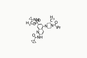 CC(C)C(=O)N1CCN(c2cc(S(=O)(=O)NC3(C)CC3)cc3nc(NC(=O)C45CC4C5)ccc23)C[C@@H]1C